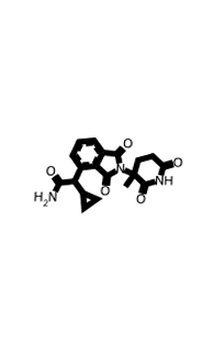 CC1(N2C(=O)c3cccc(C(C(N)=O)C4CC4)c3C2=O)CCC(=O)NC1=O